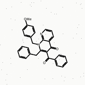 COc1ccc(Cn2c(Cc3ccccc3)c(C(=O)c3ccccc3)c(=O)c3cccnc32)cc1